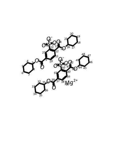 O=C(OC1CCCCC1)c1ccc(C(=O)OC2CCCCC2)c(S(=O)(=O)[O-])c1.O=C(OC1CCCCC1)c1ccc(C(=O)OC2CCCCC2)c(S(=O)(=O)[O-])c1.[Mg+2]